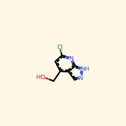 OCc1cc(Cl)nc2[nH]ncc12